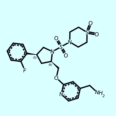 NCc1ccnc(OC[C@H]2C[C@@H](c3ccccc3F)CN2S(=O)(=O)N2CCS(=O)(=O)CC2)c1